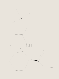 COC(=O)[C@H]1CCC[C@H](O)[C@@H]1NC(=O)OC(C)(C)C